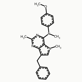 COc1ccc(N(C)c2nc(C)nc3c(Cc4ccccc4)cn(C)c23)cc1